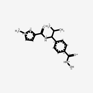 CC(C)C(NC(=O)c1ccn(C)n1)c1ccc(C(=O)NO)cc1